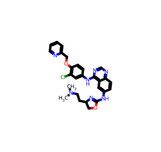 CN(C)CCC1COC(Nc2ccc3ncnc(Nc4ccc(OCc5ccccn5)c(Cl)c4)c3c2)=N1